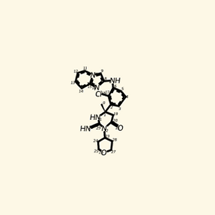 C[C@@]1(c2cccc(Nc3cn4ccccc4n3)c2Cl)CC(=O)N(C2CCOCC2)C(=N)N1